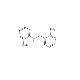 COc1ccccc1NCc1cccnc1C